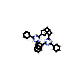 c1ccc(-c2nc(-c3ccccc3)nc(C3CC4CC5CC(c6nc(-c7ccccc7)nc(-c7ccccc7)n6)C45C3)n2)cc1